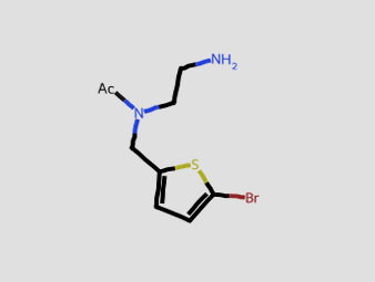 CC(=O)N(CCN)Cc1ccc(Br)s1